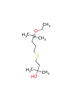 CCO[Si](C)(C)CCCSCCC(C)(C)O